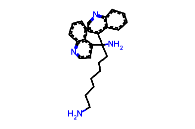 NCCCCCCCC(N)(c1ccnc2ccccc12)c1ccnc2ccccc12